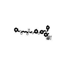 Cc1c(NS(C)(=O)=O)cccc1N(Cc1ccccc1)Cc1ccc(Oc2cccc(OCCNC(=O)CCCC(=O)OCc3ccccc3)c2)cc1